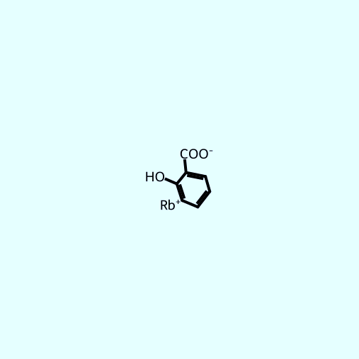 O=C([O-])c1ccccc1O.[Rb+]